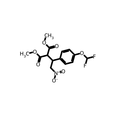 COC(=O)C(C(=O)OC)C(C[N+](=O)[O-])c1ccc(OC(F)F)cc1